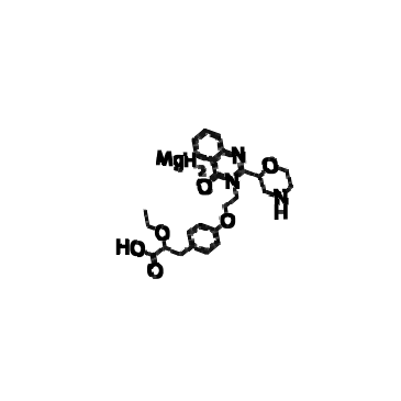 CCOC(Cc1ccc(OCCn2c(C3CNCCO3)nc3ccccc3c2=O)cc1)C(=O)O.[MgH2]